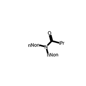 CCCCCCCCCN(CCCCCCCCC)C(=O)C(C)C